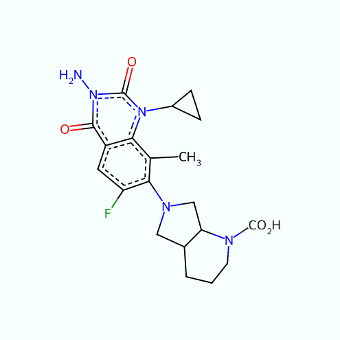 Cc1c(N2CC3CCCN(C(=O)O)C3C2)c(F)cc2c(=O)n(N)c(=O)n(C3CC3)c12